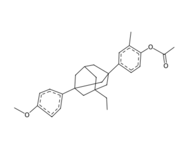 CCC12CC3CC(c4ccc(OC)cc4)(C1)CC(c1ccc(OC(C)=O)c(C)c1)(C3)C2